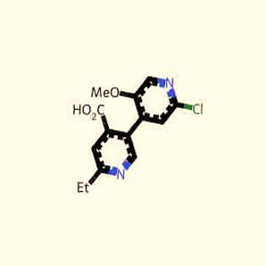 CCc1cc(C(=O)O)c(-c2cc(Cl)ncc2OC)cn1